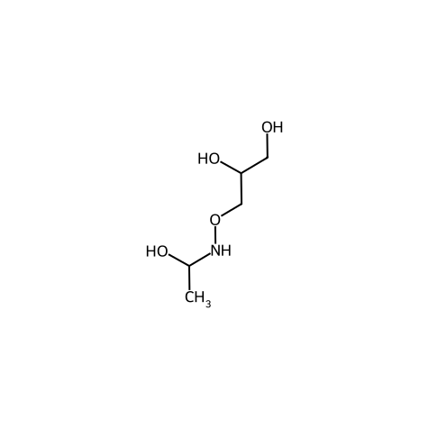 CC(O)NOCC(O)CO